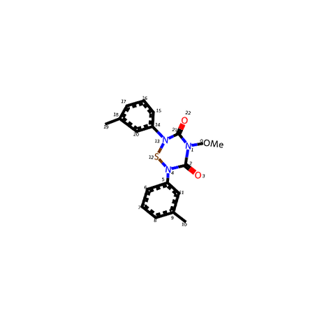 CON1C(=O)N(c2cccc(C)c2)SN(c2cccc(C)c2)C1=O